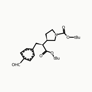 CC(C)(C)OC(=O)[C@@H](Cc1ccc(C=O)cc1)[C@H]1CCN(C(=O)OC(C)(C)C)C1